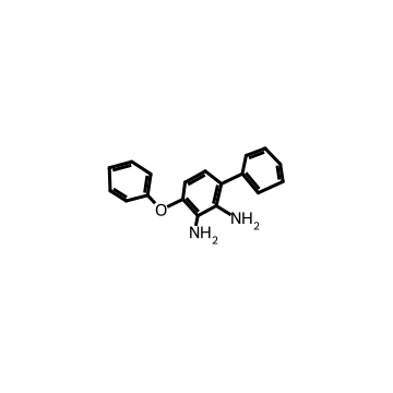 Nc1c(Oc2ccccc2)ccc(-c2ccccc2)c1N